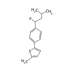 Cc1ccc(-c2ccc(C(F)CC(C)C)cc2)s1